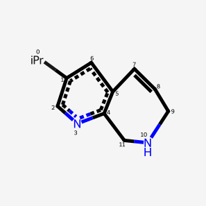 CC(C)c1cnc2c(c1)C=CCNC2